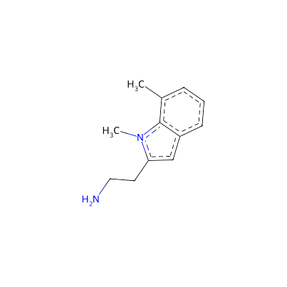 Cc1cccc2cc(CCN)n(C)c12